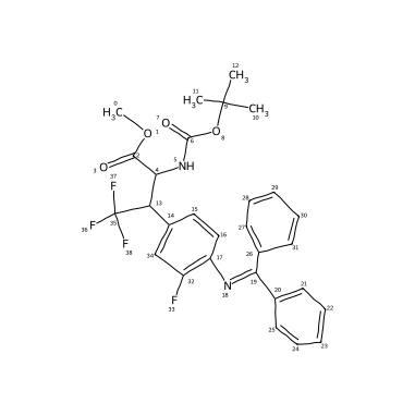 COC(=O)C(NC(=O)OC(C)(C)C)C(c1ccc(N=C(c2ccccc2)c2ccccc2)c(F)c1)C(F)(F)F